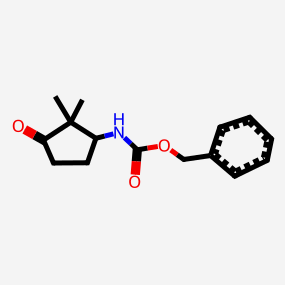 CC1(C)C(=O)CCC1NC(=O)OCc1ccccc1